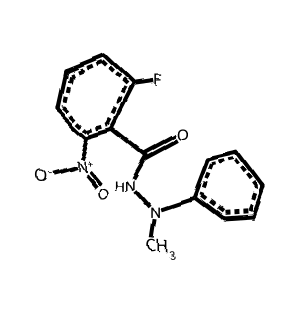 CN(NC(=O)c1c(F)cccc1[N+](=O)[O-])c1ccccc1